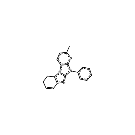 Cc1ccc2c(n1)n(-c1ccccc1)c1nc3c(n21)CCC=C3